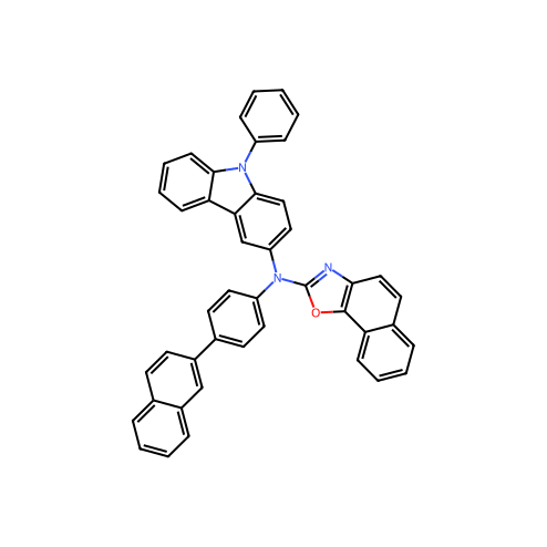 c1ccc(-n2c3ccccc3c3cc(N(c4ccc(-c5ccc6ccccc6c5)cc4)c4nc5ccc6ccccc6c5o4)ccc32)cc1